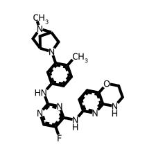 Cc1ccc(Nc2ncc(F)c(Nc3ccc4c(n3)NCCO4)n2)cc1N1CC2CC1CN2C